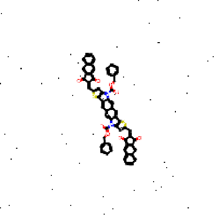 O=C1C(=Cc2cc3c(s2)c2c(n3C(=O)OCc3ccccc3)=CC3C=c4c(n(C(=O)OCc5ccccc5)c5cc(C=C6C(=O)c7cc8ccccc8cc7C6=O)sc45)=CC3C=2)C(=O)c2cc3ccccc3cc21